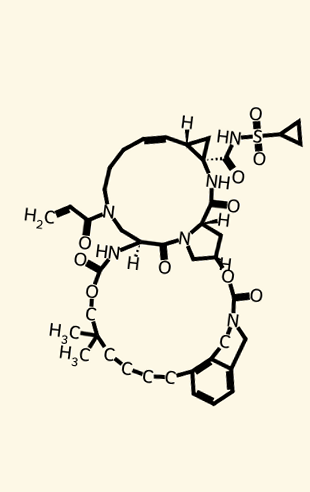 C=CC(=O)N1CCC/C=C\[C@@H]2C[C@@]2(C(=O)NS(=O)(=O)C2CC2)NC(=O)[C@@H]2C[C@@H]3CN2C(=O)[C@H](C1)NC(=O)OCC(C)(C)CCCCc1cccc2c1CN(C2)C(=O)O3